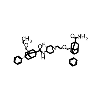 CCOC[C@]12CC3CC(C(=O)N[C@@H]4CCN(CCOC[C@]56CC7CC(C(N)=O)(C5)C[C@@](c5ccccc5)(C7)C6)C[C@H]4F)(C1)C[C@@](c1ccccc1)(C3)C2